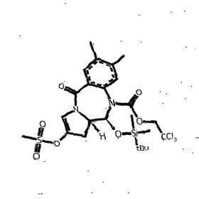 Cc1cc2c(cc1C)N(C(=O)OCC(Cl)(Cl)Cl)[C@@H](O[Si](C)(C)C(C)(C)C)[C@@H]1CC(OS(C)(=O)=O)=CN1C2=O